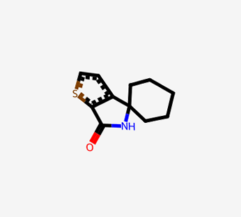 O=C1NC2(CCCCC2)c2ccsc21